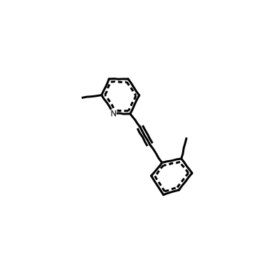 Cc1cccc(C#Cc2ccccc2C)n1